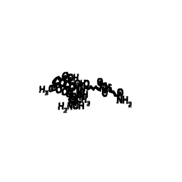 COc1cccc2c1C(=O)c1c(O)c3c(c(O)c1C2=O)C[C@@](O)(/C(CO)=N/NC(=O)CCCCCN1C(=O)CC(SCCCC(N)=O)C1=O)C[C@@H]3OC1C[C@H](N)[C@H](O)[C@H](C)O1